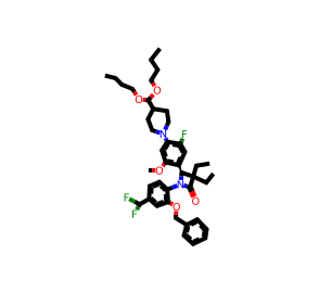 CCCCOC(OCCCC)C1CCN(c2cc(OC)c([C@@H]3N(c4ccc(C(F)F)cc4OCc4ccccc4)C(=O)C3(CC)CC)cc2F)CC1